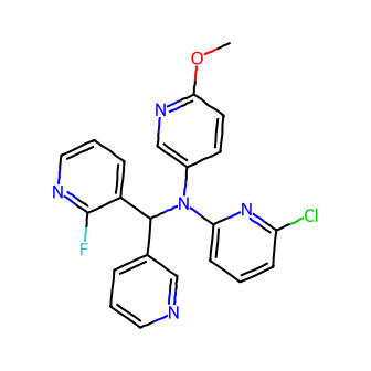 COc1ccc(N(c2cccc(Cl)n2)C(c2cccnc2)c2cccnc2F)cn1